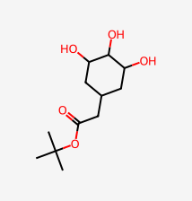 CC(C)(C)OC(=O)CC1CC(O)C(O)C(O)C1